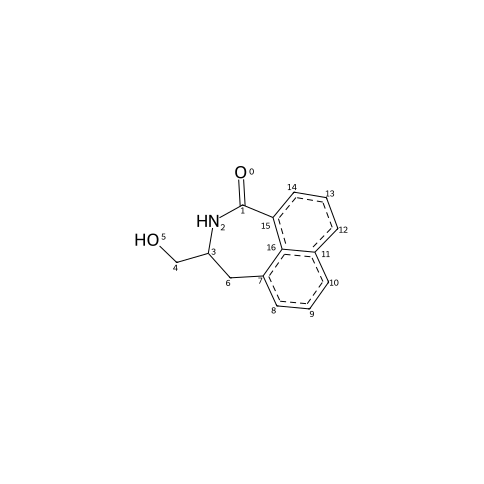 O=C1NC(CO)Cc2cccc3cccc1c23